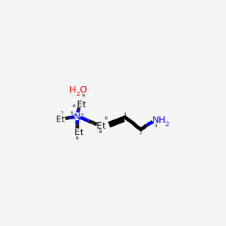 C=CCN.CC[N+](CC)(CC)CC.O